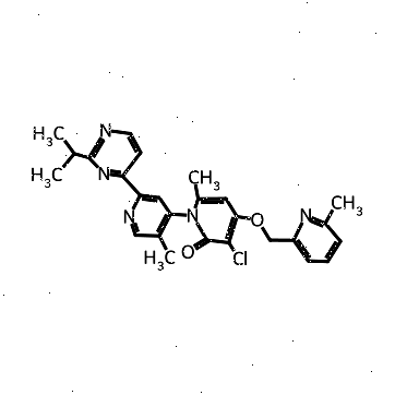 Cc1cccc(COc2cc(C)n(-c3cc(-c4ccnc(C(C)C)n4)ncc3C)c(=O)c2Cl)n1